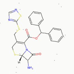 NC1C(=O)N2C(C(=O)OC(c3ccccc3)c3ccccc3)=C(CSc3ncns3)CS[C@@H]12